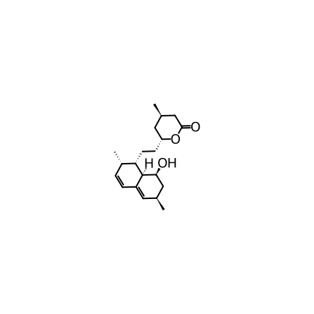 C[C@H]1CC(=O)O[C@H](CC[C@@H]2[C@@H]3C(=C[C@H](C)C[C@@H]3O)C=C[C@@H]2C)C1